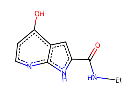 CCNC(=O)c1cc2c(O)ccnc2[nH]1